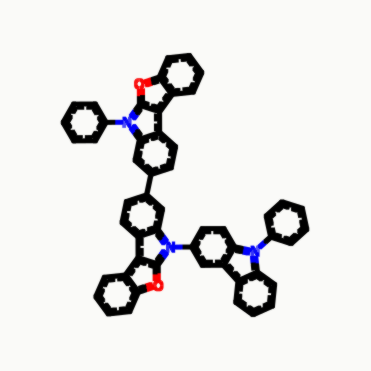 c1ccc(-n2c3ccccc3c3cc(-n4c5cc(-c6ccc7c8c9ccccc9oc8n(-c8ccccc8)c7c6)ccc5c5c6ccccc6oc54)ccc32)cc1